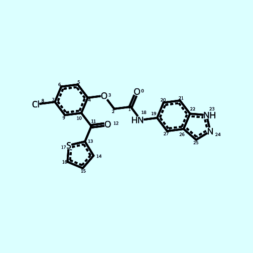 O=C(COc1ccc(Cl)cc1C(=O)c1cccs1)Nc1ccc2[nH]ncc2c1